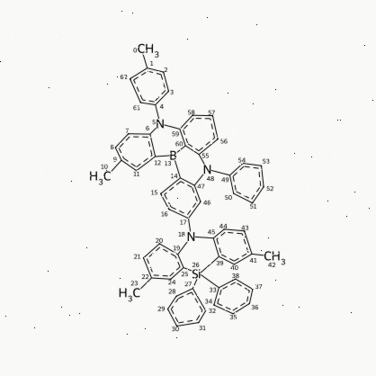 Cc1ccc(N2c3ccc(C)cc3B3c4ccc(N5c6ccc(C)cc6[Si](c6ccccc6)(c6ccccc6)c6cc(C)ccc65)cc4N(c4ccccc4)c4cccc2c43)cc1